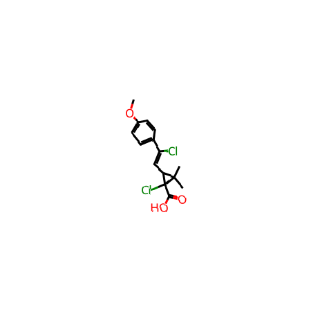 COc1ccc(C(Cl)=CC2C(C)(C)C2(Cl)C(=O)O)cc1